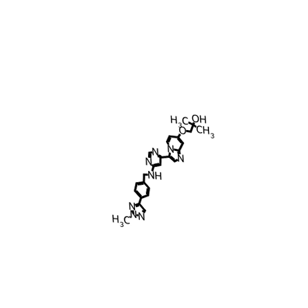 Cn1ncc(-c2ccc(CNc3cc(-c4cnc5cc(OCC(C)(C)O)ccn45)ncn3)cc2)n1